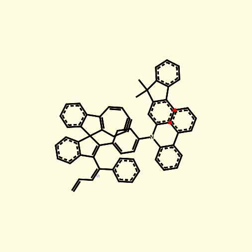 C=C/C=C(\C1=C(C2=CC=C(N(c3ccc4c(c3)C(C)(C)c3ccccc3-4)c3ccccc3-c3ccccc3)CC2)C2(C3=C(C=CC#CC3)c3ccccc32)c2ccccc21)c1ccccc1